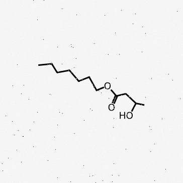 CCCCCCCOC(=O)CC(C)O